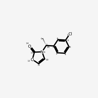 C[C@H](c1cccc(Cl)c1)n1ccoc1=O